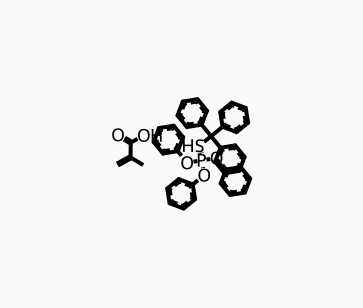 C=C(C)C(=O)O.c1ccc(OP(Oc2ccccc2)(Oc2ccccc2)=[SH]C(c2ccccc2)(c2ccccc2)c2ccccc2)cc1